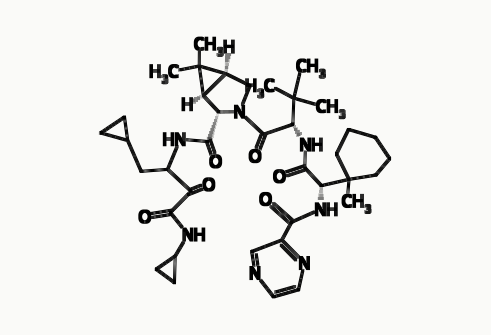 CC(C)(C)[C@H](NC(=O)[C@@H](NC(=O)c1cnccn1)C1(C)CCCCC1)C(=O)N1C[C@H]2[C@@H]([C@H]1C(=O)NC(CC1CC1)C(=O)C(=O)NC1CC1)C2(C)C